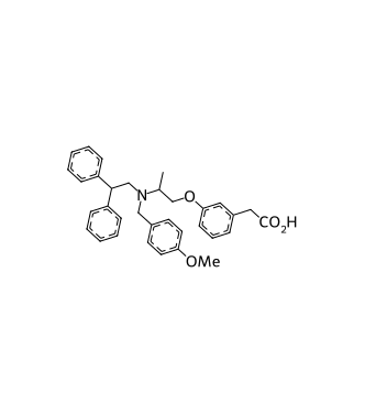 COc1ccc(CN(CC(c2ccccc2)c2ccccc2)C(C)COc2cccc(CC(=O)O)c2)cc1